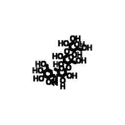 CC1OC(OC2C(CO)OC(OC(C(O)CO)C(O)C(O)CO)C(O)C2O)C(O)C(O)C1NC1C=C(CO)C(O)C(O)C1O